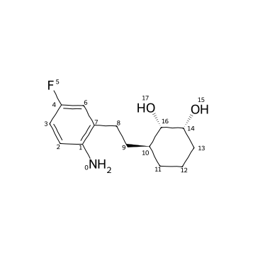 Nc1ccc(F)cc1CC[C@@H]1CCC[C@@H](O)[C@H]1O